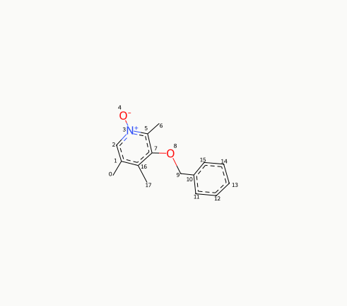 Cc1c[n+]([O-])c(C)c(OCc2ccccc2)c1C